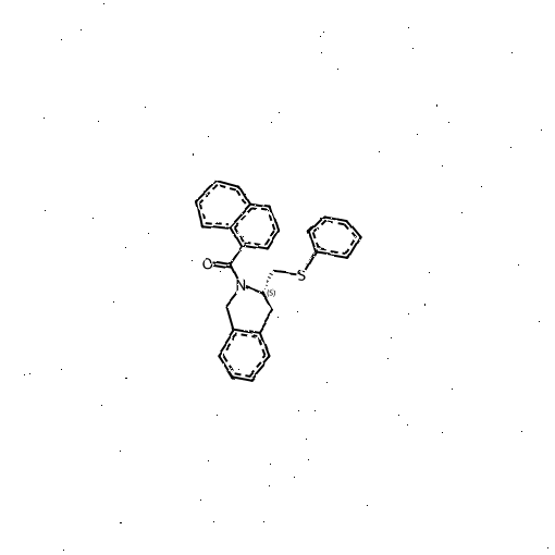 O=C(c1cccc2ccccc12)N1Cc2ccccc2C[C@H]1CSc1ccccc1